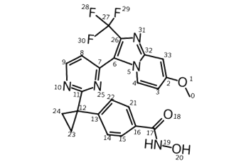 COc1ccn2c(-c3ccnc(C4(c5ccc(C(=O)NO)cc5)CC4)n3)c(C(F)(F)F)nc2c1